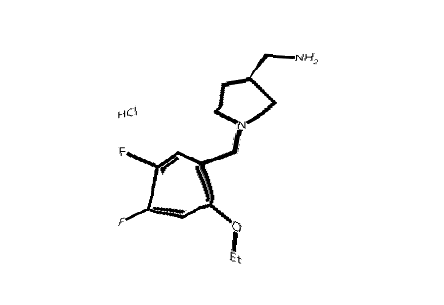 CCOc1cc(F)c(F)cc1CN1CC[C@@H](CN)C1.Cl